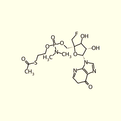 CC(=O)SCCOP(=O)(OC[C@@]1(CF)O[C@@H](n2cnc3c2N=CCC3=O)[C@@H](O)C1O)N(C)C